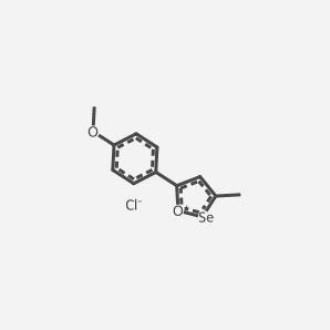 COc1ccc(-c2cc(C)[se][o+]2)cc1.[Cl-]